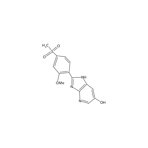 COc1cc(S(C)(=O)=O)ccc1-c1nc2ncc(O)cc2[nH]1